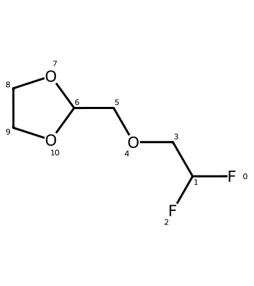 FC(F)COCC1OCCO1